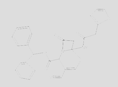 O=CC1=CSC2(NC(=O)Cc3cccs3)CC(=O)N2C1C(=O)OC(c1ccccc1)c1ccccc1